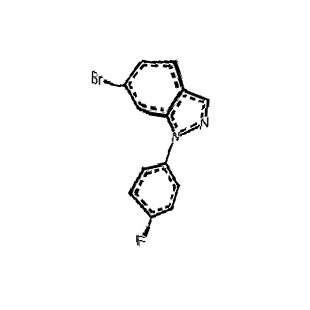 Fc1ccc(-n2ncc3ccc(Br)cc32)cc1